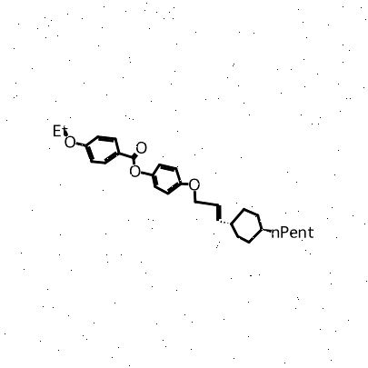 CCCCC[C@H]1CC[C@H](C=CCOc2ccc(OC(=O)c3ccc(OCC)cc3)cc2)CC1